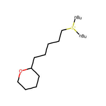 CCCC[S+](CCCC)CCCCCC1CCCCO1